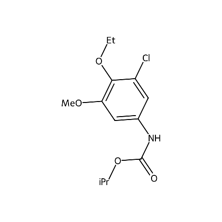 CCOc1c(Cl)cc(NC(=O)OC(C)C)cc1OC